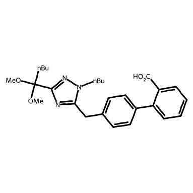 CCCCn1nc(C(CCCC)(OC)OC)nc1Cc1ccc(-c2ccccc2C(=O)O)cc1